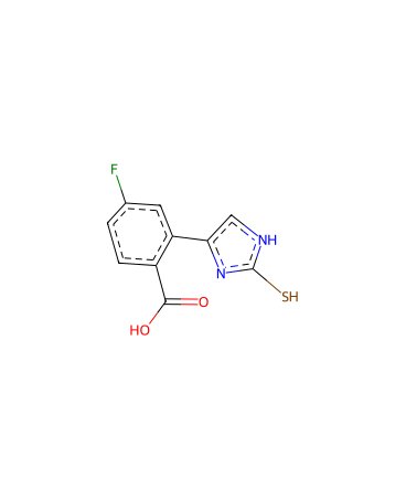 O=C(O)c1ccc(F)cc1-c1c[nH]c(S)n1